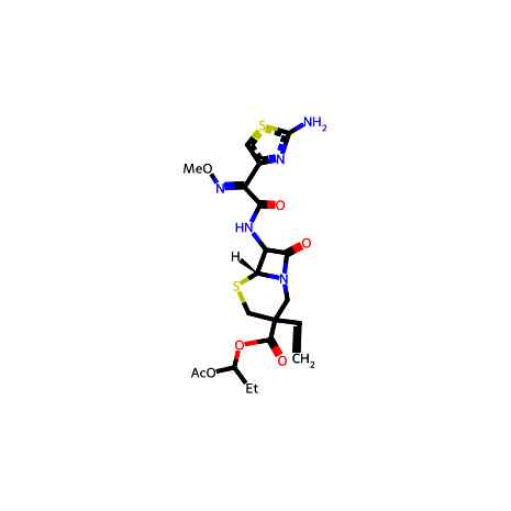 C=CC1(C(=O)OC(CC)OC(C)=O)CS[C@@H]2C(NC(=O)C(=NOC)c3csc(N)n3)C(=O)N2C1